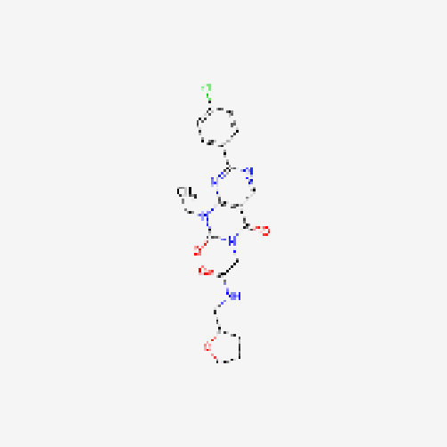 CCn1c(=O)n(CC(=O)NCC2CCCO2)c(=O)c2cnc(-c3ccc(Cl)cc3)nc21